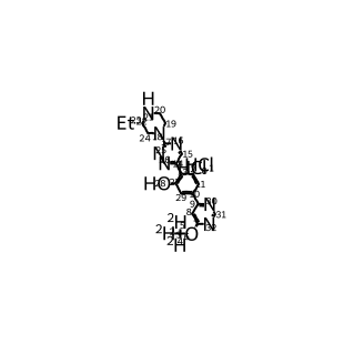 Cl.Cl.[2H]C([2H])([2H])Oc1cc(-c2ccc(-c3cnc(N4CCN[C@@H](CC)C4)nn3)c(O)c2)ncn1